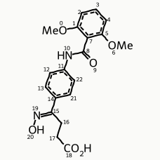 COc1cccc(OC)c1C(=O)Nc1ccc(/C(CCC(=O)O)=N/O)cc1